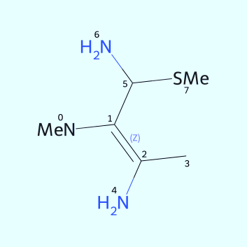 CN/C(=C(/C)N)C(N)SC